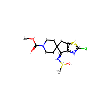 CC(C)(C)OC(=O)N1CCC2(CC1)Cc1sc(Cl)nc1/C2=N\[S+]([O-])C(C)(C)C